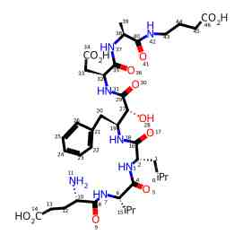 CC(C)C[C@H](NC(=O)[C@@H](NC(=O)[C@@H](N)CCC(=O)O)C(C)C)C(=O)N[C@@H](Cc1ccccc1)[C@@H](O)C(=O)N[C@@H](CC(=O)O)C(=O)N[C@@H](C)C(=O)NCCCC(=O)O